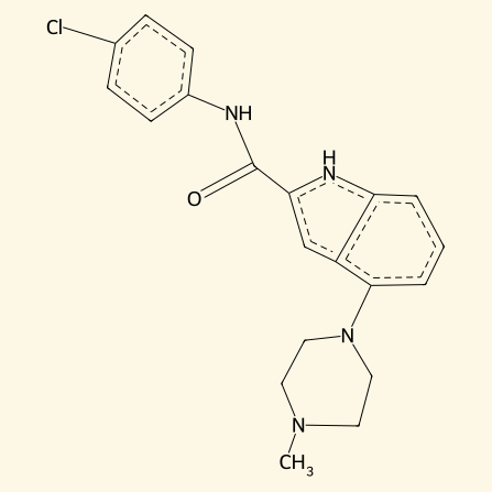 CN1CCN(c2cccc3[nH]c(C(=O)Nc4ccc(Cl)cc4)cc23)CC1